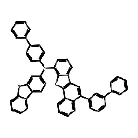 c1ccc(-c2ccc(N(c3ccc4c(c3)sc3ccccc34)c3cccc4c3oc3c5ccccc5c(-c5cccc(-c6ccccc6)c5)cc43)cc2)cc1